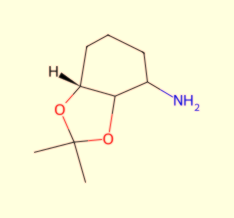 CC1(C)OC2C(N)CCC[C@H]2O1